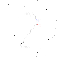 CCCCCCCC=CCCCCCCCC(=O)N(C)CCS(=O)(=O)O